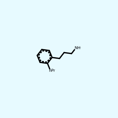 CCCc1ccccc1CCC[NH]